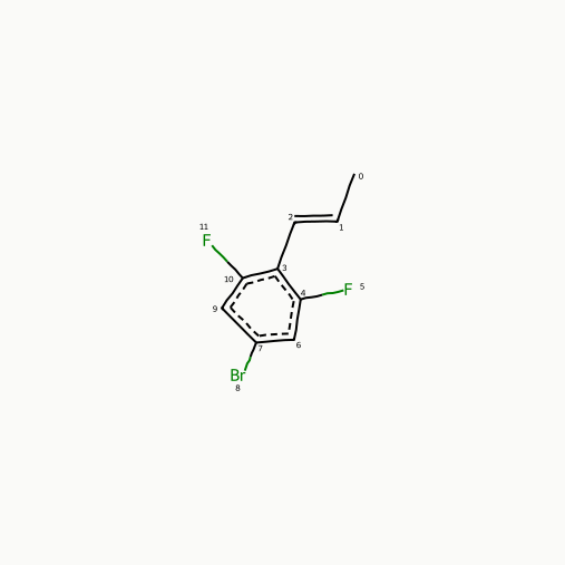 CC=Cc1c(F)cc(Br)cc1F